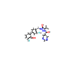 O=C(NC1(C(=O)NCc2ccc(-c3cccc(F)c3O)cc2F)CC1)c1cncnc1